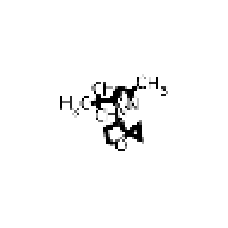 Cc1cc(C(C)(C)C)n(C2CCOC23CC3)n1